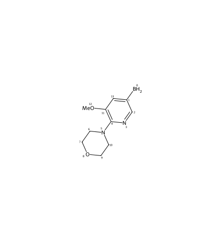 Bc1cnc(N2CCOCC2)c(OC)c1